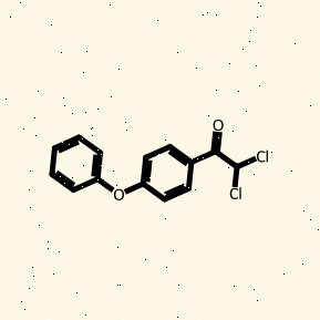 O=C([C](Cl)Cl)c1ccc(Oc2ccccc2)cc1